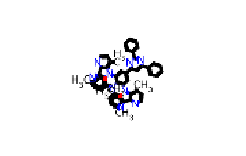 Cc1ccc(N(c2ccc(C)cc2)c2c(-n3c4c(C)ccnc4c4nccc(C)c43)cc(-c3cc(-c4ccccc4)nc(-c4ccccc4)n3)cc2-n2c3c(C)ccnc3c3nccc(C)c32)cc1